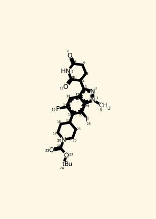 Cn1nc(C2CCC(=O)NC2=O)c2cc(F)c(C3CCN(C(=O)OC(C)(C)C)CC3)c(F)c21